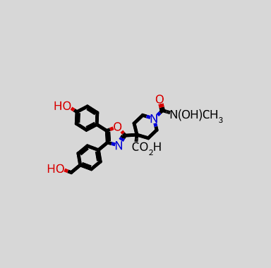 CN(O)C(=O)N1CCC(C(=O)O)(c2nc(-c3ccc(CO)cc3)c(-c3ccc(O)cc3)o2)CC1